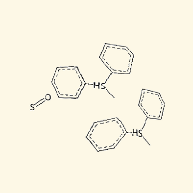 C[SH](c1ccccc1)c1ccccc1.C[SH](c1ccccc1)c1ccccc1.O=S